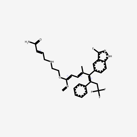 C=N\C(=C/C=C(C)/C(=C(/CC(F)(F)F)c1ccccc1)c1ccc2[nH]nc(F)c2c1)OCCNC/C=C/C(N)=O